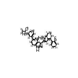 CC(C)C(=O)Nc1cncc(-c2ccc3[nH]nc(-c4cc5c(-c6ccccc6F)cncc5[nH]4)c3n2)c1